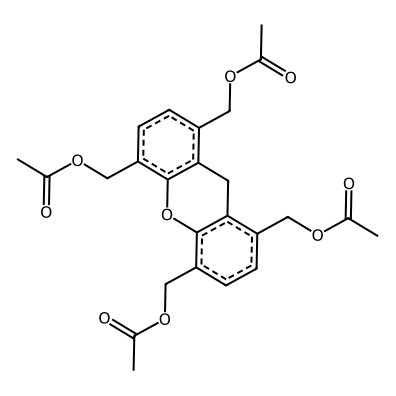 CC(=O)OCc1ccc(COC(C)=O)c2c1Cc1c(COC(C)=O)ccc(COC(C)=O)c1O2